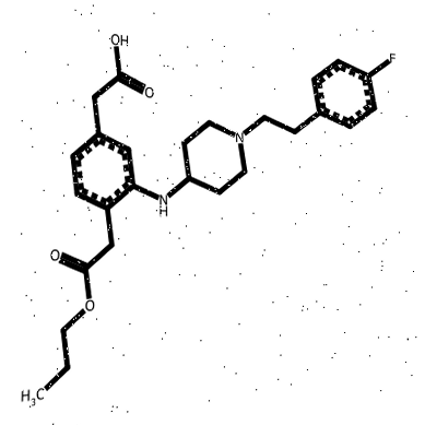 CCCOC(=O)Cc1ccc(CC(=O)O)cc1NC1CCN(CCc2ccc(F)cc2)CC1